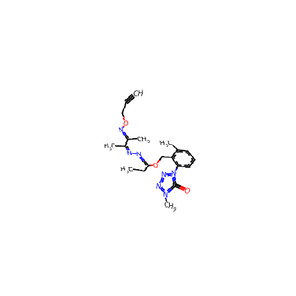 C#CCO/N=C(C)/C(C)=N\N=C(/CC)OCc1c(C)cccc1-n1nnn(C)c1=O